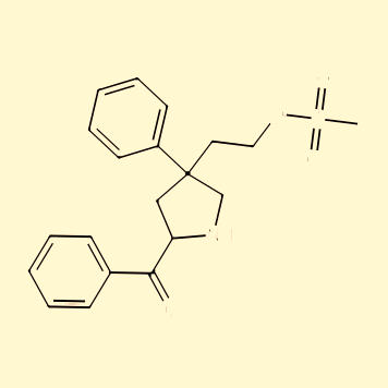 CS(=O)(=O)OCCC1(c2ccccc2)CNC(C(=O)c2ccccc2)C1